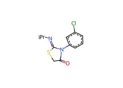 CC(C)N=C1SCC(=O)N1c1cccc(Cl)c1